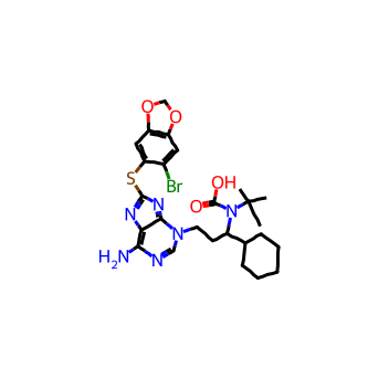 CC(C)(C)N(C(=O)O)C(CCn1cnc(N)c2nc(Sc3cc4c(cc3Br)OCO4)nc1-2)C1CCCCC1